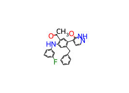 CC(=O)c1cc(-c2ccn[nH]c2=O)c(Cc2ccccc2)cc1Nc1cccc(F)c1